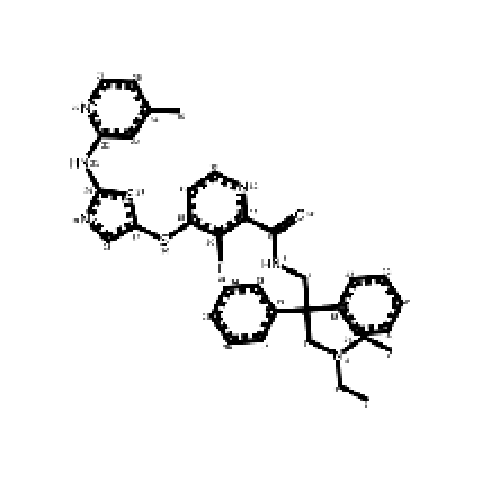 CCN(CC)CC(CNC(=O)c1nccc(Sc2cnc(Nc3cc(C)ccn3)s2)c1F)(c1ccccc1)c1ccccc1